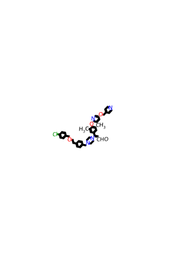 Cc1cc(/C(=C/C=O)N2CCN(Cc3ccc(CCOCc4ccc(Cl)cc4)cc3)CC2)cc(C)c1Oc1ccc(OCc2ccncc2)cn1